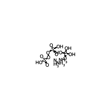 N.N.N.O=P(O)(O)O.O=S(=O)(O)OOS(=O)(=O)O